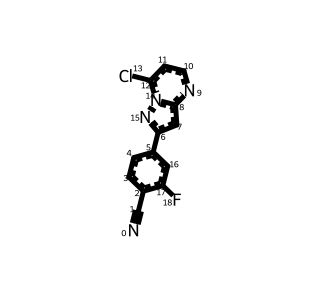 N#Cc1ccc(-c2cc3nccc(Cl)n3n2)cc1F